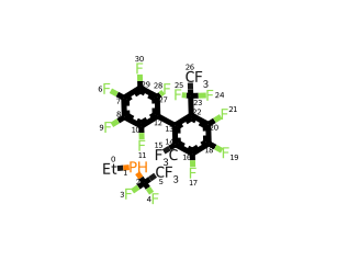 CCPC(F)(F)C(F)(F)F.Fc1c(F)c(F)c(-c2c(C(F)(F)F)c(F)c(F)c(F)c2C(F)(F)C(F)(F)F)c(F)c1F